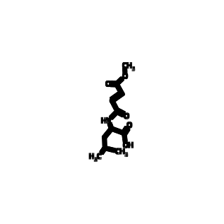 COC(=O)/C=C/C(=O)NC(CC(C)C)C(=O)O